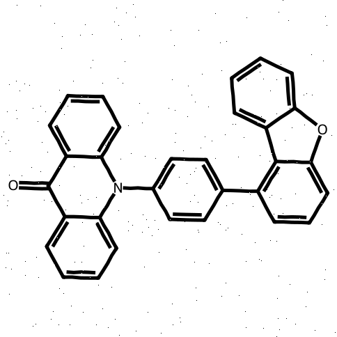 O=c1c2ccccc2n(-c2ccc(-c3cccc4oc5ccccc5c34)cc2)c2ccccc12